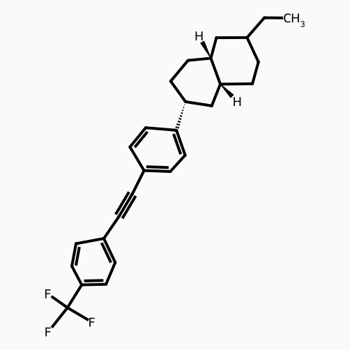 CCC1CC[C@@H]2C[C@H](c3ccc(C#Cc4ccc(C(F)(F)F)cc4)cc3)CC[C@@H]2C1